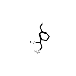 CCC(C)C1=CC(CI)=CCC1